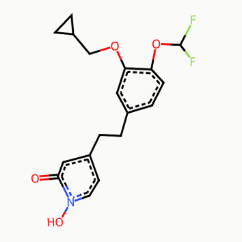 O=c1cc(CCc2ccc(OC(F)F)c(OCC3CC3)c2)ccn1O